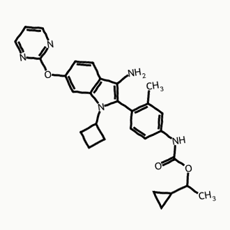 Cc1cc(NC(=O)OC(C)C2CC2)ccc1-c1c(N)c2ccc(Oc3ncccn3)cc2n1C1CCC1